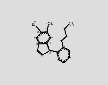 CCCCc1ccccc1C1C=Cc2cc(Br)c(C)cc21